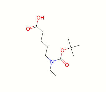 CCN(CCCCC(=O)O)C(=O)OC(C)(C)C